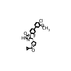 COc1cc(-c2ccc(-n3c(C[C@@H]4CCN(C(=O)C5CC5)C4)n[nH]c3=O)c(F)c2)ccc1Cl